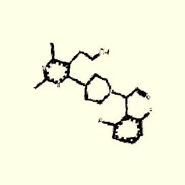 Cc1nc(C)c(CCO)c(C2CCN(C(C=O)c3c(F)cccc3F)CC2)n1